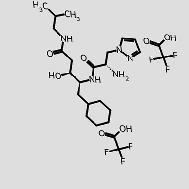 CC(C)CNC(=O)C[C@H](O)[C@H](CC1CCCCC1)NC(=O)[C@@H](N)Cn1cccn1.O=C(O)C(F)(F)F.O=C(O)C(F)(F)F